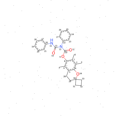 Cc1c(C)c2c(c(C)c1OC(=O)N(C(=O)Nc1ccccc1)c1ccccc1)CCC1(CCC1)O2